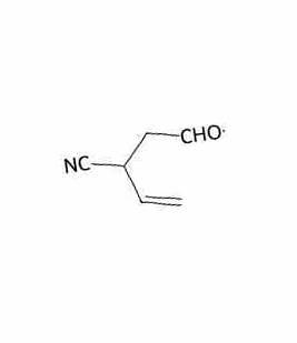 C=CC(C#N)C[C]=O